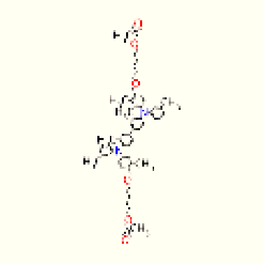 Cc1cccc(N(c2ccc(COCCCCCCOCC3(C)COC3)c(C)c2)c2ccc(-c3ccc(N(c4cccc(C)c4)c4ccc(COCCCCCCOCC5(C)COC5)c(C)c4)c(C)c3)cc2C)c1